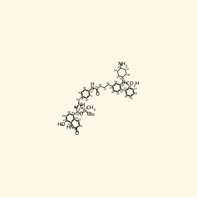 CC(C)(C)[Si](C)(C)O[C@H](CNCc1ccc(NC(=O)CCCc2ccc(-c3ccccc3)c(N(C(=O)O)C3CCC(N)CC3)c2)cc1)c1ccc(O)c2[nH]c(=O)ccc12